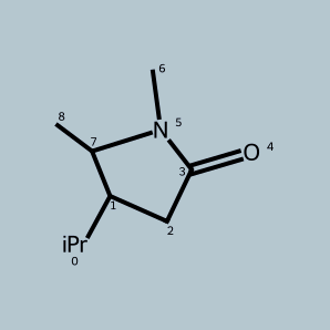 CC(C)C1CC(=O)N(C)C1C